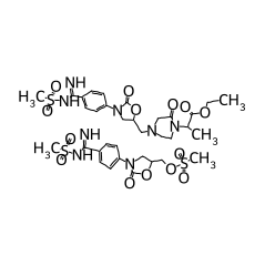 CCOC(=O)C(C)N1CCN(CC2CN(c3ccc(C(=N)NS(C)(=O)=O)cc3)C(=O)O2)CC1=O.CS(=O)(=O)NC(=N)c1ccc(N2CC(COS(C)(=O)=O)OC2=O)cc1